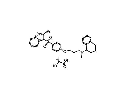 CC(C)c1nn2ccccc2c1S(=O)(=O)c1ccc(OCCCN(C)C2CCCc3ccccc32)cc1.O=C(O)C(=O)O